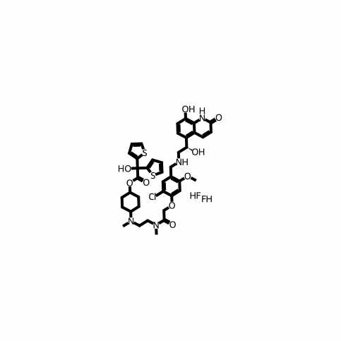 COc1cc(OCC(=O)N(C)CCN(C)C2CCC(OC(=O)C(O)(c3cccs3)c3cccs3)CC2)c(Cl)cc1CNC[C@@H](O)c1ccc(O)c2[nH]c(=O)ccc12.F.F